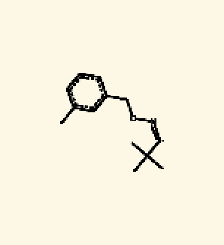 Cc1cccc(CO/N=[C]\C(C)(C)C)c1